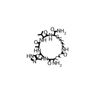 CC1NC(=O)[C@H](Cc2c[nH]cn2)NC(=O)C(N)CCC(=O)NCCCCC(C(N)=O)NC(=O)C(C(C)C)NC1=O